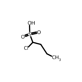 CCCC(Cl)S(=O)(=O)O